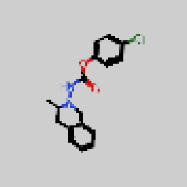 CC1Cc2ccccc2CN1NC(=O)Oc1ccc(Cl)cc1